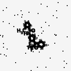 Cc1ccccc1C(=O)Nc1ccc(-c2c(C(F)(F)F)oc3ccccc23)cn1